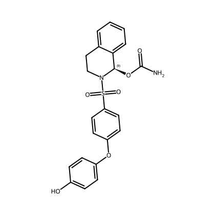 NC(=O)O[C@@H]1c2ccccc2CCN1S(=O)(=O)c1ccc(Oc2ccc(O)cc2)cc1